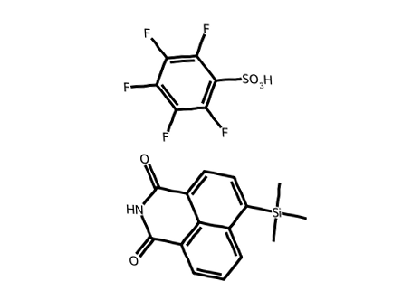 C[Si](C)(C)c1ccc2c3c(cccc13)C(=O)NC2=O.O=S(=O)(O)c1c(F)c(F)c(F)c(F)c1F